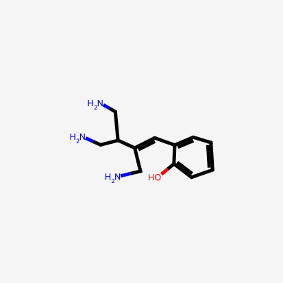 NC/C(=C\c1ccccc1O)C(CN)CN